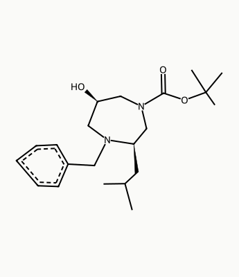 CC(C)C[C@@H]1CN(C(=O)OC(C)(C)C)C[C@H](O)CN1Cc1ccccc1